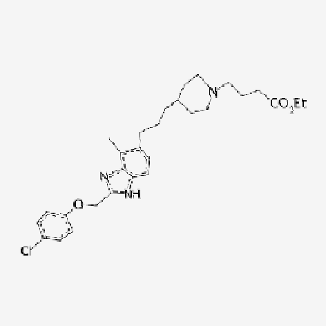 CCOC(=O)CCCN1CCC(CCCc2ccc3[nH]c(COc4ccc(Cl)cc4)nc3c2C)CC1